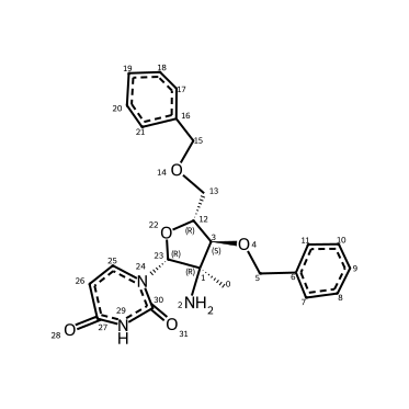 C[C@@]1(N)[C@H](OCc2ccccc2)[C@@H](COCc2ccccc2)O[C@H]1n1ccc(=O)[nH]c1=O